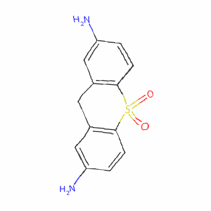 Nc1ccc2c(c1)Cc1cc(N)ccc1S2(=O)=O